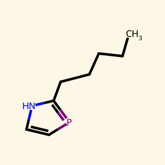 CCCCCc1[nH]ccp1